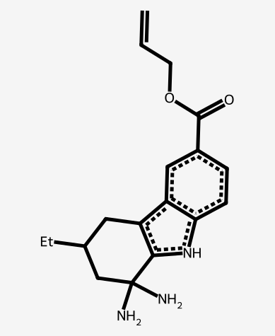 C=CCOC(=O)c1ccc2[nH]c3c(c2c1)CC(CC)CC3(N)N